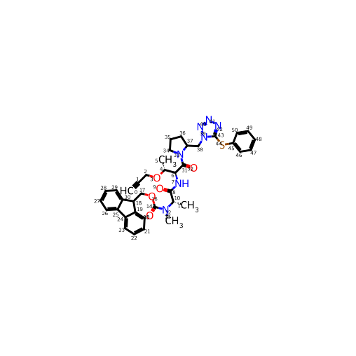 C#CCO[C@H](C)[C@H](NC(=O)[C@H](C)N(C)C(=O)OCC1c2ccccc2-c2ccccc21)C(=O)N1CCCC1Cn1nnnc1Sc1ccccc1